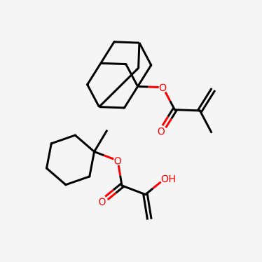 C=C(C)C(=O)OC12CC3CC(CC(C3)C1)C2.C=C(O)C(=O)OC1(C)CCCCC1